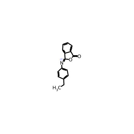 CCc1ccc(/N=C2\OC(=O)c3ccccc32)cc1